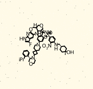 CC(C)c1ccccc1[C@@H]1COCCN1C1CC2(CCN(c3ccc(C(=O)NS(=O)(=O)c4ccc(NC[C@H]5CC[C@](C)(O)CC5)c([N+](=O)[O-])c4)c(N4c5cc6c(F)c[nH]c6nc5OC[C@@H]5COCC[C@H]54)c3)CC2)C1